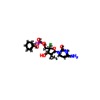 C[C@@H]1[C@H](n2ccc(N)nc2=O)O[C@](F)(CO[PH](=O)Oc2ccccc2)[C@H]1O